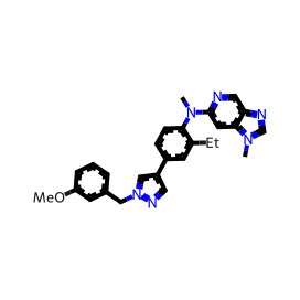 CCc1cc(-c2cnn(Cc3cccc(OC)c3)c2)ccc1N(C)c1cc2c(cn1)ncn2C